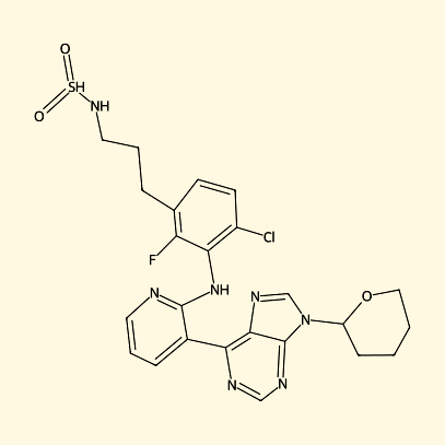 O=[SH](=O)NCCCc1ccc(Cl)c(Nc2ncccc2-c2ncnc3c2ncn3C2CCCCO2)c1F